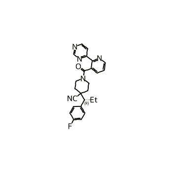 CC[C@H](c1ccc(F)cc1)C1(C#N)CCN(C(=O)c2cccnc2-c2ccncn2)CC1